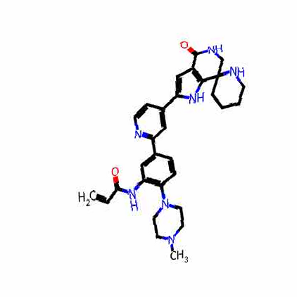 C=CC(=O)Nc1cc(-c2cc(-c3cc4c([nH]3)C3(CCCCN3)CNC4=O)ccn2)ccc1N1CCN(C)CC1